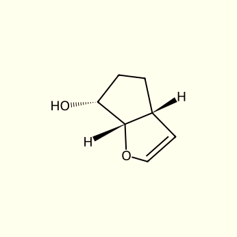 O[C@@H]1CC[C@@H]2C=CO[C@H]12